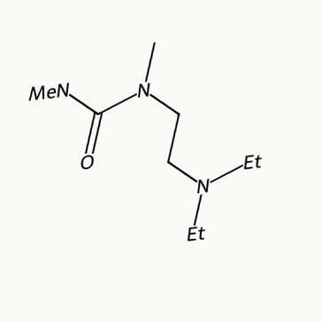 CCN(CC)CCN(C)C(=O)NC